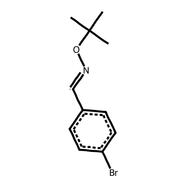 CC(C)(C)O/N=[C]/c1ccc(Br)cc1